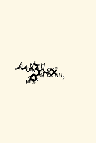 CN(C)CCOc1nccc(-c2[nH]c(C3OCC(C)(N)CO3)nc2-c2ccc(F)cc2)n1